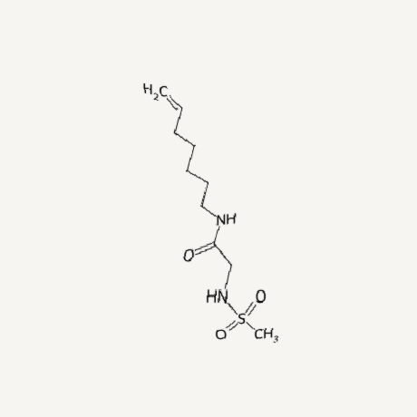 C=CCCCCCNC(=O)CNS(C)(=O)=O